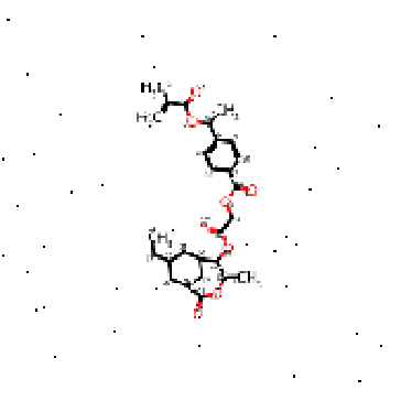 C=C(C)C(=O)OC(C)c1ccc(C(=O)OCC(=O)OC2C3CC(CC)CC(C3)C(=O)OC2C)cc1